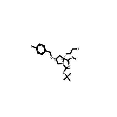 COC(=O)[C@]1(CCCCl)C[C@@H](OCc2ccc(I)cc2)CN1C(=O)OC(C)(C)C